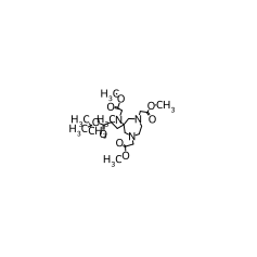 COC(=O)CN1CCN(CC(=O)OC)CC(CCC(=O)OC(C)(C)C)(N(C)CC(=O)OC)C1